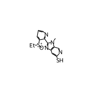 CC[S+]([O-])c1cccnc1-c1nc2cc(S)ncc2n1C